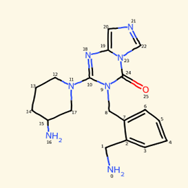 NCc1ccccc1Cn1c(N2CCCC(N)C2)nc2cncn2c1=O